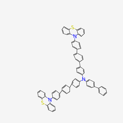 C1=CC(c2ccc(N(c3ccc(-c4ccccc4)cc3)c3ccc(-c4ccc(-c5ccc(N6c7ccccc7Sc7ccccc76)cc5)cc4)cc3)cc2)CC=C1c1ccc(N2c3ccccc3Sc3ccccc32)cc1